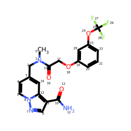 CN(Cc1ccn2ncc(C(N)=O)c2c1)C(=O)COc1cccc(OC(F)(F)F)c1